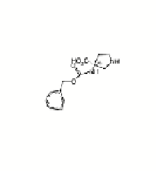 O=C(N[C@@]1(C(=O)O)CCNC1)OCc1ccccc1